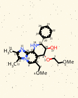 COCCO[C@@H]1c2c(COC)cn3c(C)c(C)nc3c2N[C@H](c2ccccc2)[C@H]1O